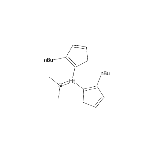 CCCCC1=[C]([Hf]([C]2=C(CCCC)C=CC2)=[Si](C)C)CC=C1